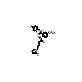 COc1ccc(NC(=O)CCCCN2CCCC2=O)c(C(=O)Nc2ccc(Cl)cn2)c1